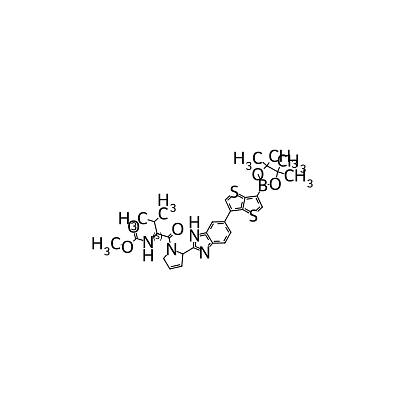 COC(=O)N[C@H](C(=O)N1CC=CC1c1nc2ccc(-c3csc4c(B5OC(C)(C)C(C)(C)O5)csc34)cc2[nH]1)C(C)C